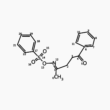 CC(CCC(=O)c1ccccc1)=NOS(=O)(=O)c1ccccc1